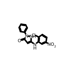 O=c1cc(Nc2cc([N+](=O)[O-])ccc2Cl)[nH]n1-c1ccccc1